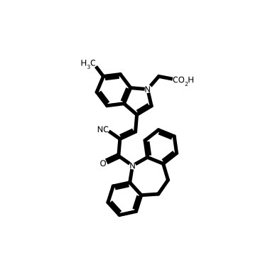 Cc1ccc2c(C=C(C#N)C(=O)N3c4ccccc4CCc4ccccc43)cn(CC(=O)O)c2c1